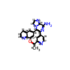 CC(=O)c1cc(-c2nc(N)c3nccn3c2-c2ccc3ncccc3c2)ccn1